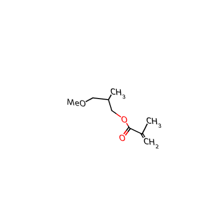 C=C(C)C(=O)OCC(C)COC